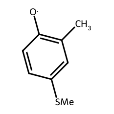 CSc1ccc([O])c(C)c1